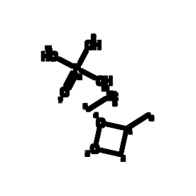 CC1COO1.CCC.O=P(O)(O)O